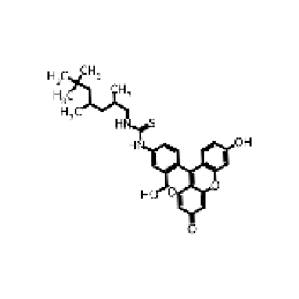 CC(CNC(=S)Nc1ccc(-c2c3ccc(=O)cc-3oc3cc(O)ccc23)c(C(=O)O)c1)CC(C)CC(C)(C)C